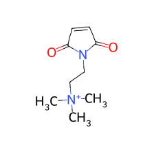 C[N+](C)(C)CCN1C(=O)C=CC1=O